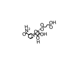 NC(=O)C1=CN([C@@H]2O[C@H](COC(=O)CCC(=O)O)[C@@H](O)[C@H]2O)C=CC1